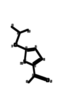 CC(=O)c1ccc(OC(C)C)s1